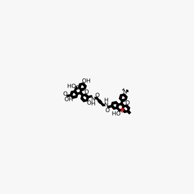 C=c1ccc2c(c1)Oc1cc(N(C)C)ccc1C=2c1ccc(C(=O)NCC#CC(=O)NCc2c3oc4cc(O)ccc4c(-c4ccc(C(=O)O)cc4C(=O)O)c-3ccc2=O)cc1C(=O)O